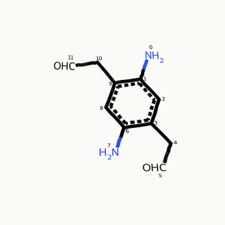 Nc1cc(CC=O)c(N)cc1CC=O